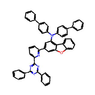 c1ccc(-c2ccc(N(c3ccc(-c4ccccc4)cc3)c3cc(-c4cccc(-c5nc(-c6ccccc6)nc(-c6ccccc6)n5)n4)cc4oc5ccccc5c34)cc2)cc1